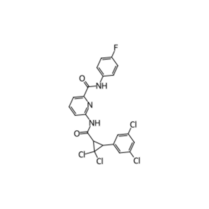 O=C(Nc1ccc(F)cc1)c1cccc(NC(=O)C2C(c3cc(Cl)cc(Cl)c3)C2(Cl)Cl)n1